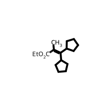 CCOC(=O)C(C)=C(C1CCCC1)C1CCCC1